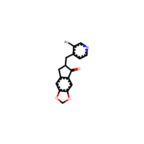 CC(=O)c1cnccc1CC1Cc2cc3c(cc2C1=O)OCO3